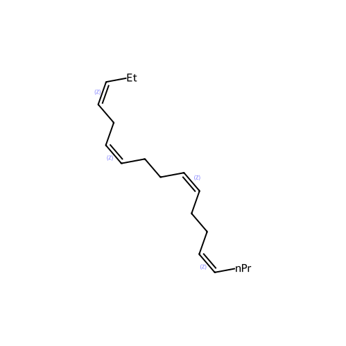 [CH2]CC/C=C\CC/C=C\CC/C=C\C/C=C\CC